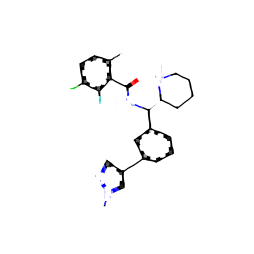 Cn1cc(-c2cccc(C(NC(=O)c3c(C(F)(F)F)ccc(Cl)c3F)[C@@H]3CCCCN3)c2)cn1